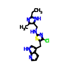 CCc1nc(C)c(CNc2nc(Cl)c(Cc3c[nH]c4ncccc34)s2)[nH]1